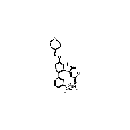 C=c1[nH]c2c(OCC3CCNCC3)ccc(-c3cccc(S(=O)(=O)CC)c3)c2/c1=C/C(Cl)=C\N